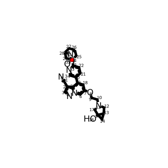 N#Cc1cnn2cc(OCCN3CC4CC4(O)C3)cc(-c3ccc(N4CC5CC(C4)N5C=O)nc3)c12